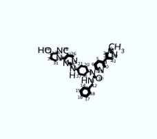 Cn1cc(-c2ccc(N(C(=O)NCc3ccccc3)[C@H]3CC[C@H](Nc4ncc(C#N)c(N5CCC(O)C5)n4)CC3)nc2)cn1